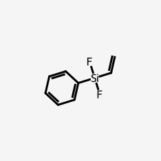 C=C[Si](F)(F)c1ccccc1